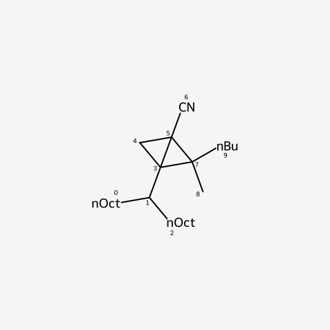 CCCCCCCCC(CCCCCCCC)C12CC1(C#N)C2(C)CCCC